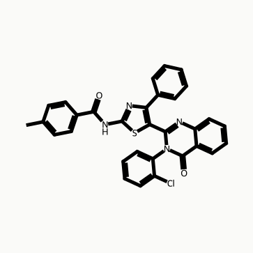 Cc1ccc(C(=O)Nc2nc(-c3ccccc3)c(-c3nc4ccccc4c(=O)n3-c3ccccc3Cl)s2)cc1